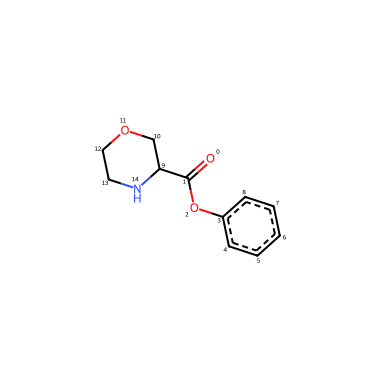 O=C(Oc1ccccc1)C1COCCN1